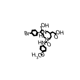 COc1ccc(NC(=O)N2CCC(CC(=O)O)CN3[C@H](CO)[C@H](c4ccc(Br)cc4)[C@@H]3C2)cc1